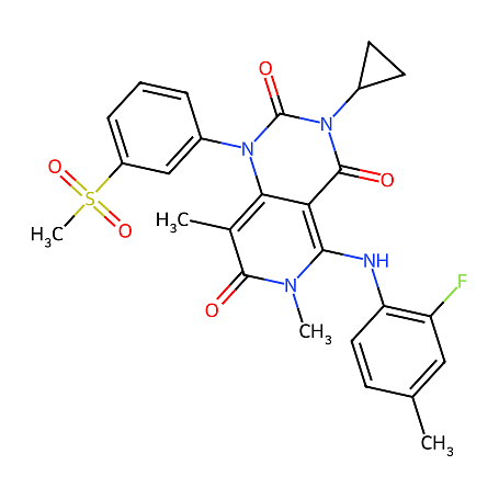 Cc1ccc(Nc2c3c(=O)n(C4CC4)c(=O)n(-c4cccc(S(C)(=O)=O)c4)c3c(C)c(=O)n2C)c(F)c1